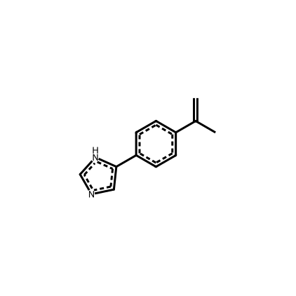 C=C(C)c1ccc(-c2cnc[nH]2)cc1